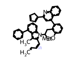 C=C/C=C\c1c(C)c2c(-c3ccccc3)cccc2n1C(CC)Cc1c(OC)cccc1-c1cc(C2=CC=CC2)nc2ccccc12